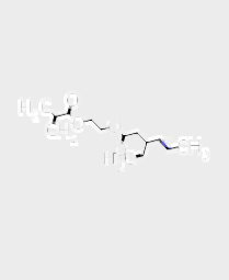 C=CC(/C=C/C)CC(=O)OCCOC(=O)C(=C)C